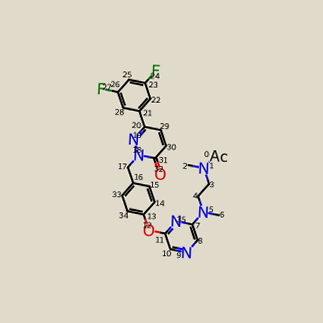 CC(=O)N(C)CCN(C)c1cncc(Oc2ccc(Cn3nc(-c4cc(F)cc(F)c4)ccc3=O)cc2)n1